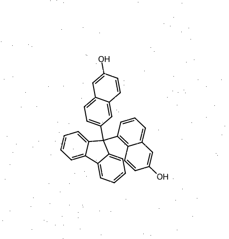 Oc1ccc2cc(C3(c4cccc5cc(O)ccc45)c4ccccc4-c4ccccc43)ccc2c1